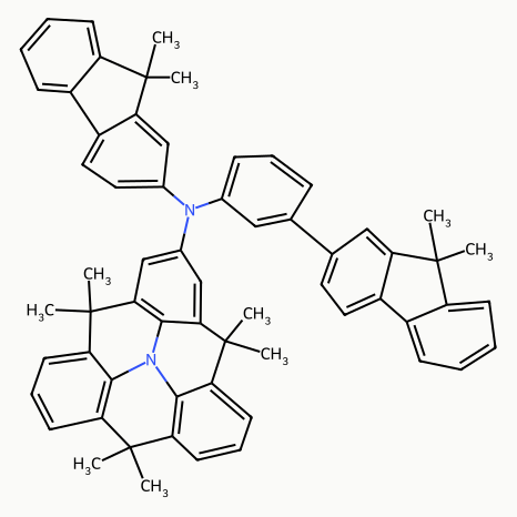 CC1(C)c2ccccc2-c2ccc(-c3cccc(N(c4ccc5c(c4)C(C)(C)c4ccccc4-5)c4cc5c6c(c4)C(C)(C)c4cccc7c4N6c4c(cccc4C5(C)C)C7(C)C)c3)cc21